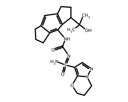 CC(C)(O)C1CCc2cc3c(c(NC(=O)N=S(N)(=O)c4cnn5c4OCCC5)c21)CCC3